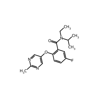 CCN(C(=O)c1cc(F)ccc1Oc1cnc(C)nc1)C(C)C